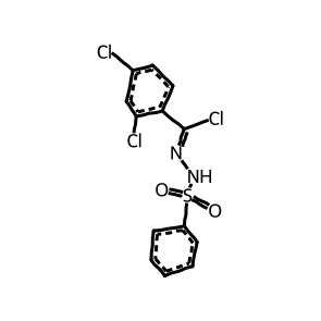 O=S(=O)(NN=C(Cl)c1ccc(Cl)cc1Cl)c1ccccc1